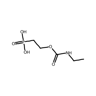 CCNC(=O)OCCP(=O)(O)O